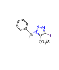 CCOC(=O)c1c(I)nnn1[C@H](C)c1ccccc1